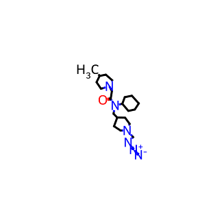 CC1CCN(CC(=O)N(CC2CCN(CN=[N+]=[N-])CC2)C2CCCCC2)CC1